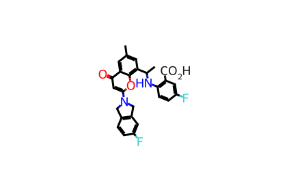 Cc1cc(C(C)Nc2ccc(F)cc2C(=O)O)c2oc(N3Cc4ccc(F)cc4C3)cc(=O)c2c1